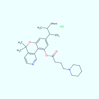 CCCCCC(C)C(C)c1cc(OC(=O)CCCN2CCCCC2)c2c(c1)OC(C)(C)c1ccncc1-2.Cl